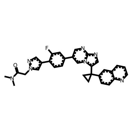 CN(C)C(=O)Cn1cc(-c2ccc(-c3cnc4ncc(C5(c6ccc7ncccc7c6)CC5)n4c3)cc2F)cn1